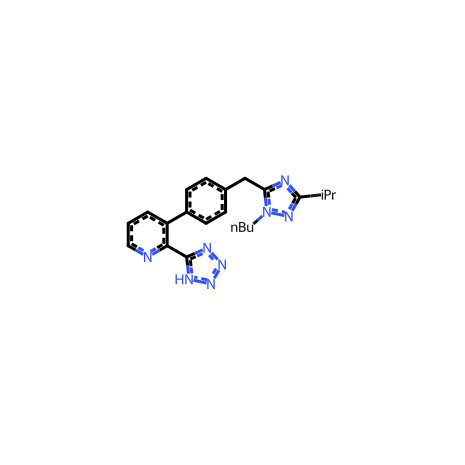 CCCCn1nc(C(C)C)nc1Cc1ccc(-c2cccnc2-c2nnn[nH]2)cc1